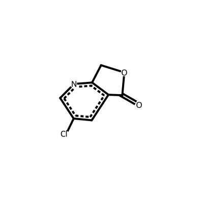 O=C1OCc2ncc(Cl)cc21